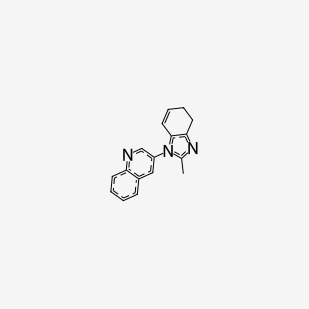 Cc1nc2c(n1-c1cnc3ccccc3c1)C=CCC2